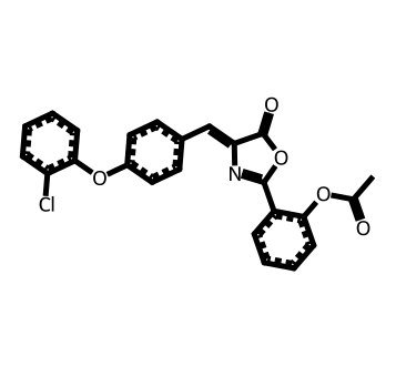 CC(=O)Oc1ccccc1C1=N/C(=C\c2ccc(Oc3ccccc3Cl)cc2)C(=O)O1